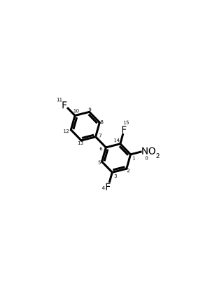 O=[N+]([O-])c1cc(F)cc(-c2ccc(F)cc2)c1F